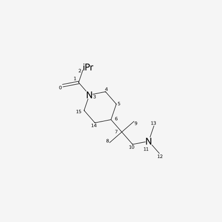 C=C(C(C)C)N1CCC(C(C)(C)CN(C)C)CC1